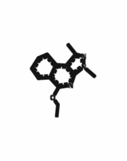 CCOc1nc2c(c(C)nn2C)c2ccccc12